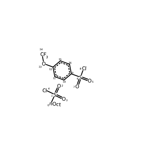 CCCCCCCCS(=O)(=O)Cl.O=S(=O)(Cl)c1ccc(OC(F)(F)F)cc1